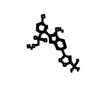 CCS(=O)(=O)c1ccc(Cl)nc1-c1nc2cc(C3N=C(C(F)(F)F)OO3)ccc2n1C